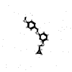 COc1ccc(COC2[CH]C(OCC3CC3)=CC=C2)cc1